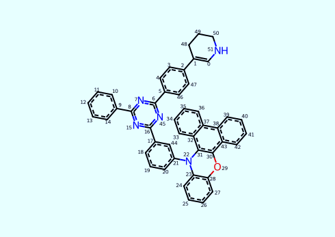 C1=C(c2ccc(-c3nc(-c4ccccc4)nc(-c4cccc(N5c6ccccc6Oc6c5c5ccccc5c5ccccc65)c4)n3)cc2)CCCN1